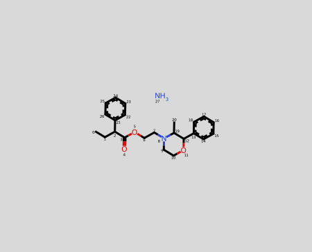 CCC(C(=O)OCCN1CCOC(c2ccccc2)C1C)c1ccccc1.N